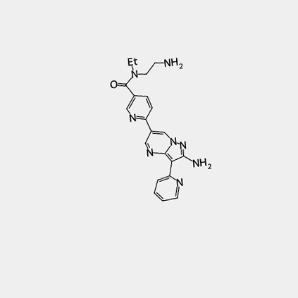 CCN(CCN)C(=O)c1ccc(-c2cnc3c(-c4ccccn4)c(N)nn3c2)nc1